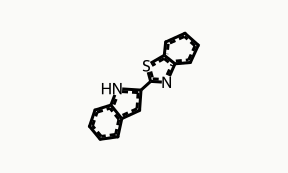 c1ccc2[nH]c(-c3nc4ccccc4s3)cc2c1